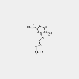 CCOC(=O)COCCc1cc(C(=O)O)ccc1O